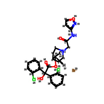 O=C(C[N+]12CCC(CC1)[C@@H](OC(=O)C(O)(c1ccccc1Cl)c1ccccc1Cl)C2)Nc1ccon1.[Br-]